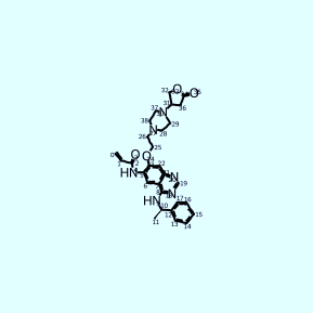 C=CC(=O)Nc1cc2c(N[C@H](C)c3ccccc3)ncnc2cc1OCCN1CCN(C2COC(=O)C2)CC1